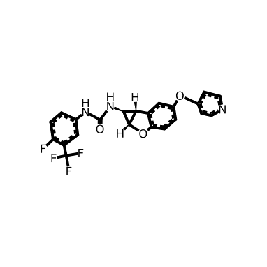 O=C(Nc1ccc(F)c(C(F)(F)F)c1)N[C@@H]1[C@H]2Oc3ccc(Oc4ccncc4)cc3[C@@H]12